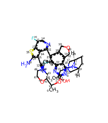 C[C@H](Oc1nc(N2[C@@H]3CC[C@@H]2CN(C[C@@H](C)O)C3)c2c3c(c(-c4ncc(F)c5sc(N)c(C#N)c45)c(F)c2n1)COC3)[C@H]1CN(C)CCO1